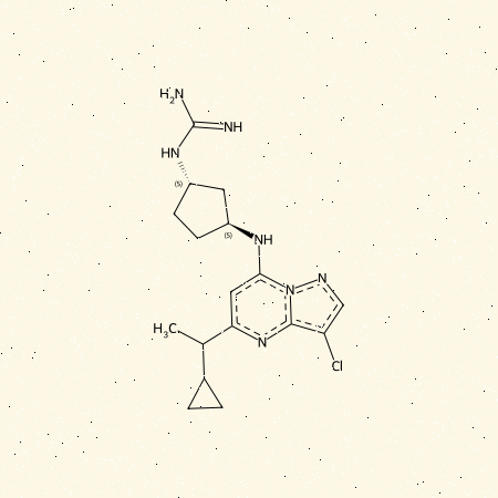 CC(c1cc(N[C@H]2CC[C@H](NC(=N)N)C2)n2ncc(Cl)c2n1)C1CC1